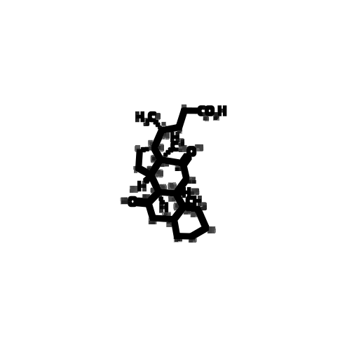 C[C@H](CCC(=O)O)[C@H]1CC[C@H]2[C@@H]3C(=O)CC4CCCC[C@]4(C)[C@H]3CC(=O)[C@]12C